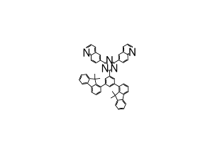 CC1(C)c2ccccc2-c2cccc(-c3cc(-c4nc(-c5ccc6ncccc6c5)nc(-c5ccc6ncccc6c5)n4)cc(-c4cccc5c4C(C)(C)c4ccccc4-5)c3)c21